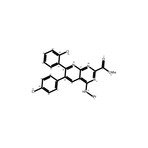 COC(=O)c1nc(NC(C)C)c2cc(-c3ccc(Cl)cc3)c(-c3ccccc3Cl)nc2n1